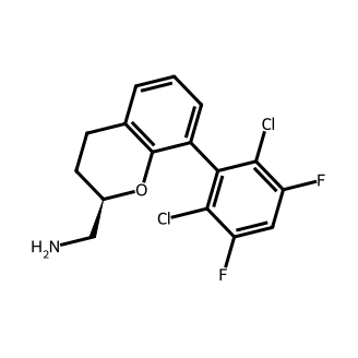 NC[C@H]1CCc2cccc(-c3c(Cl)c(F)cc(F)c3Cl)c2O1